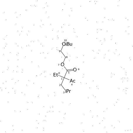 CCC(CC(C)C)(C(C)=O)C(=O)OCCOCC(C)C